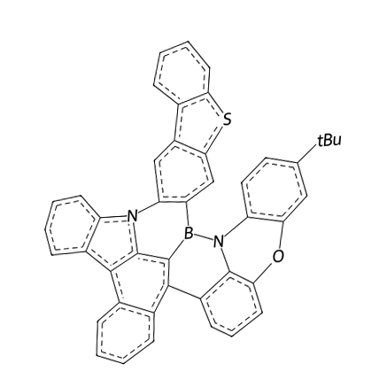 CC(C)(C)c1ccc2c(c1)Oc1cccc3c1N2B1c2cc4sc5ccccc5c4cc2-n2c4ccccc4c4c5ccccc5c-3c1c42